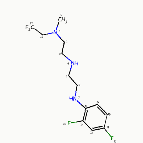 CN(CCNCCNc1ccc(F)cc1F)CC(F)(F)F